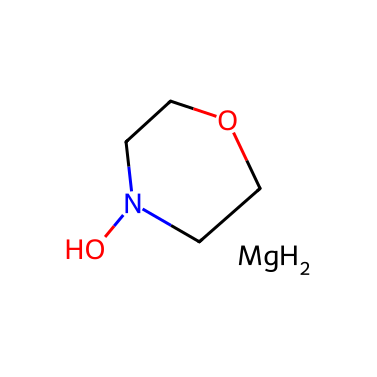 ON1CCOCC1.[MgH2]